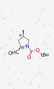 C[C@@H]1C[C@H](C=O)N(C(=O)OC(C)(C)C)C1